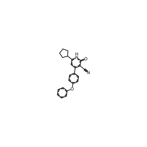 N#Cc1c(-c2ccc(Oc3ccccc3)cc2)cc(C2CCCC2)[nH]c1=O